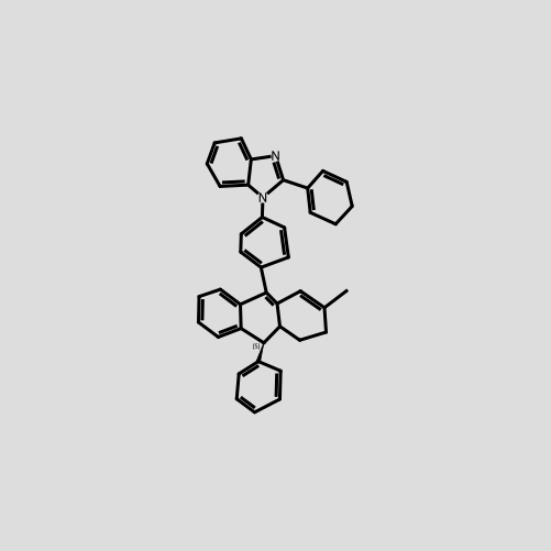 CC1=CC2=C(c3ccc(-n4c(C5=CCCC=C5)nc5ccccc54)cc3)c3ccccc3[C@H](c3ccccc3)C2CC1